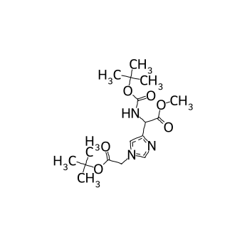 COC(=O)C(NC(=O)OC(C)(C)C)c1cn(CC(=O)OC(C)(C)C)cn1